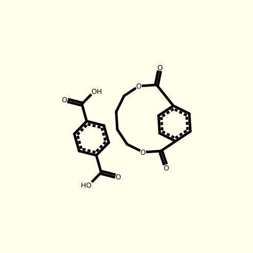 O=C(O)c1ccc(C(=O)O)cc1.O=C1OCCCCOC(=O)c2ccc1cc2